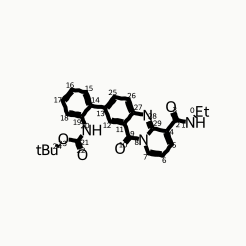 [CH2]CNC(=O)c1cccn2c(=O)c3cc(-c4ccccc4NC(=O)OC(C)(C)C)ccc3nc12